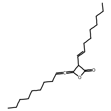 CCCCCCC/C=C/C1C(=O)OC1=C=CCCCCCCCC